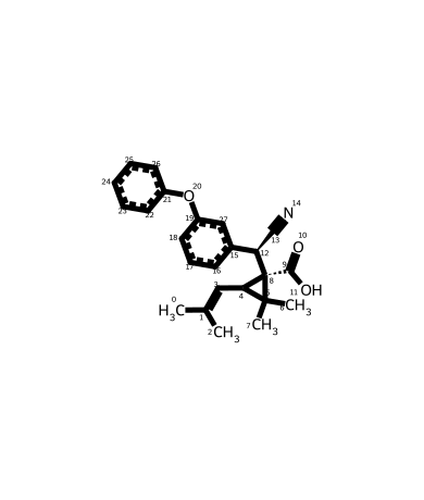 CC(C)=CC1C(C)(C)[C@]1(C(=O)O)[C@H](C#N)c1cccc(Oc2ccccc2)c1